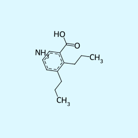 CCCc1cccc(C(=O)O)c1CCC.N